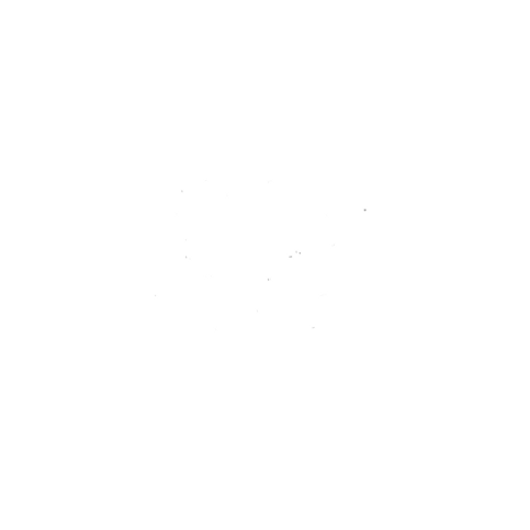 CCN(CCO)c1cccc(C)c1.Cc1ccc(N(CCO)CCO)cc1